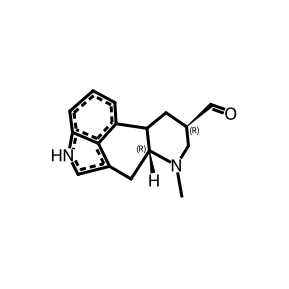 CN1C[C@H](C=O)CC2c3cccc4[nH]cc(c34)C[C@H]21